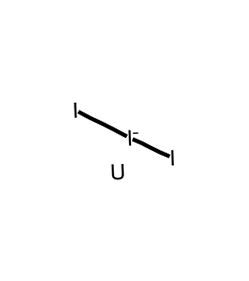 I[I-]I.[U]